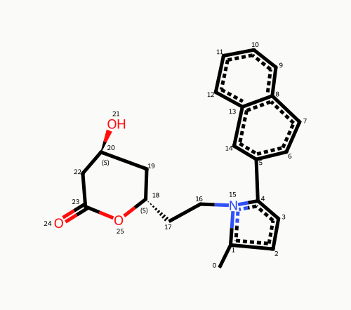 Cc1ccc(-c2ccc3ccccc3c2)n1CC[C@H]1C[C@H](O)CC(=O)O1